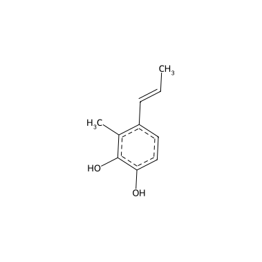 CC=Cc1ccc(O)c(O)c1C